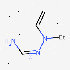 C=CN(CC)/N=C\N